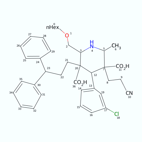 CCCCCCOCC1NC(C)C(CCC#N)(C(=O)O)C(c2cccc(Cl)c2)C1(CCC(c1ccccc1)c1ccccc1)C(=O)O